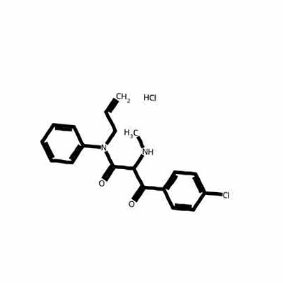 C=CCN(C(=O)C(NC)C(=O)c1ccc(Cl)cc1)c1ccccc1.Cl